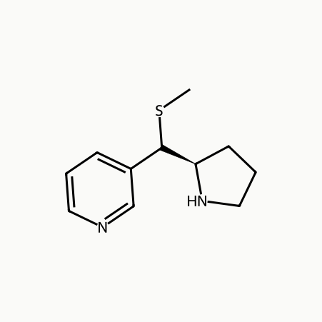 CSC(c1cccnc1)[C@H]1CCCN1